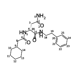 NC(=O)C[C@@H](NC(=O)CC1CCCCC1)C(=O)NCCc1ccccc1